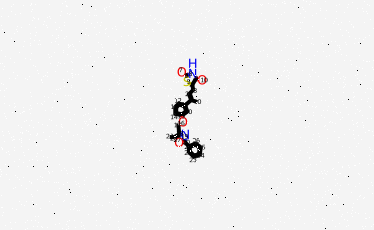 CC(=CCC1SC(=O)NC1=O)c1cccc(OCc2nc(-c3ccccc3)oc2C)c1